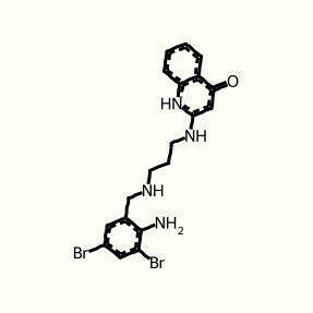 Nc1c(Br)cc(Br)cc1CNCCCNc1cc(=O)c2ccccc2[nH]1